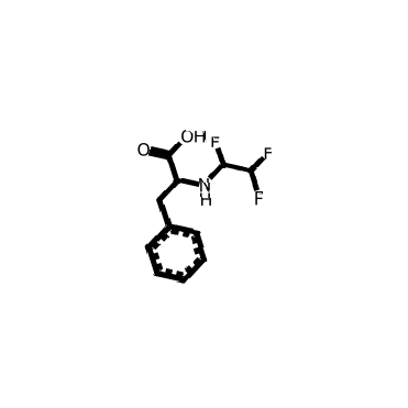 O=C(O)C(Cc1ccccc1)NC(F)C(F)F